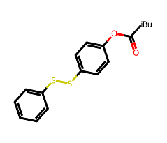 CCC(C)C(=O)Oc1ccc(SSc2ccccc2)cc1